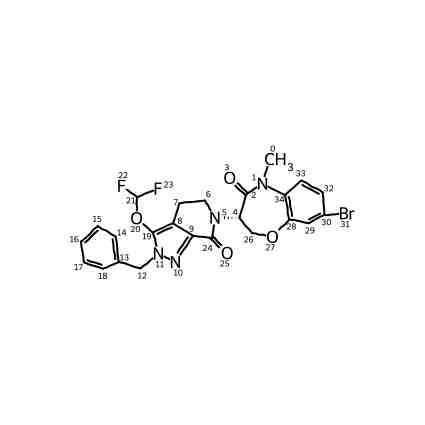 CN1C(=O)[C@@H](N2CCc3c(nn(Cc4ccccc4)c3OC(F)F)C2=O)COc2cc(Br)ccc21